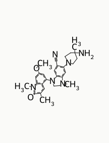 COc1cc(N2CCN(C)c3cc(N4CCC(C)(N)CC4)c(C#N)cc32)c2cc(C)c(=O)n(C)c2c1